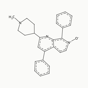 CN1CCC(c2cc(-c3ccccc3)c3cc[n+]([O-])c(-c4ccccc4)c3n2)CC1